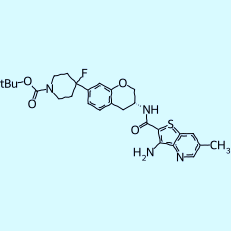 Cc1cnc2c(N)c(C(=O)N[C@H]3COc4cc(C5(F)CCN(C(=O)OC(C)(C)C)CC5)ccc4C3)sc2c1